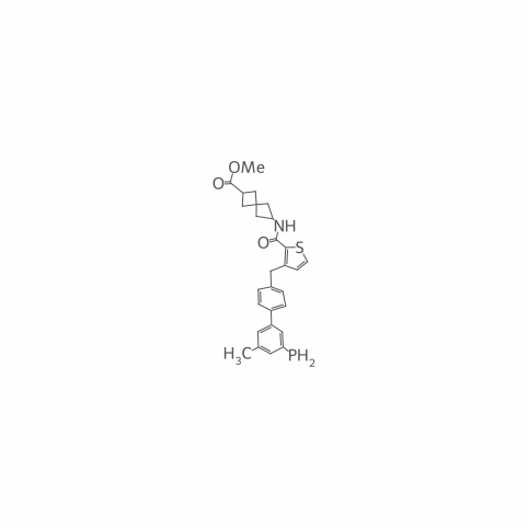 COC(=O)C1CC2(CC(NC(=O)c3sccc3Cc3ccc(-c4cc(C)cc(P)c4)cc3)C2)C1